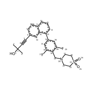 CC(C)(O)C#Cc1cnc2cccc(-c3cc(F)c(CN4CCS(=O)(=O)CC4)c(F)c3)c2n1